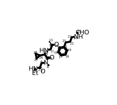 CCNC(=O)CN(C)C(=O)C(NC[C@@H](C)Oc1ccccc1CCCNC=O)C1CC1